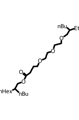 CCCCCCC(CCCC)COC(=O)CCCOCCOCCOCC(CC)CCCC